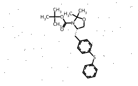 CC(C)(C)OC(=O)N1[C@@H](Cc2ccc(Sc3ccccc3)cc2)COC1(C)C